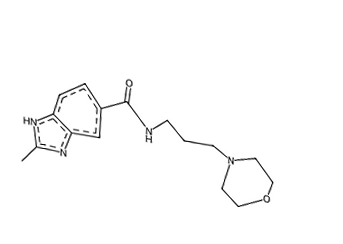 Cc1nc2cc(C(=O)NCCCN3CCOCC3)ccc2[nH]1